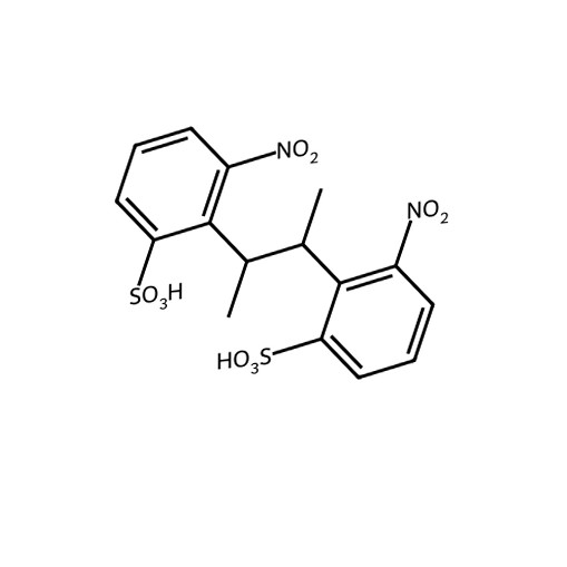 CC(c1c([N+](=O)[O-])cccc1S(=O)(=O)O)C(C)c1c([N+](=O)[O-])cccc1S(=O)(=O)O